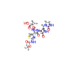 CC(C)(C)OC(=O)Nc1nc(C(=NOC2(C(=O)O)CC2)C(=O)N[C@@H]2C(=O)N[C@@H]2CN2CCNC2=O)cs1